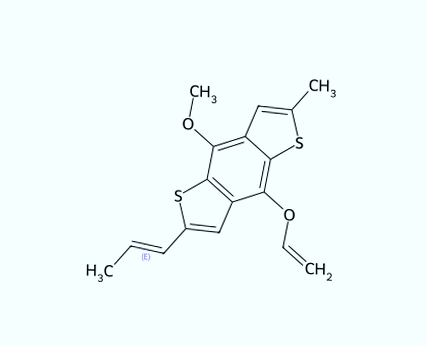 C=COc1c2cc(/C=C/C)sc2c(OC)c2cc(C)sc12